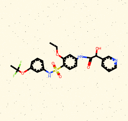 CCOc1cc(NC(=O)C(O)c2cccnc2)ccc1S(=O)(=O)Nc1cccc(OC(C)(F)F)c1